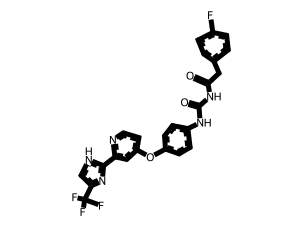 O=C(Cc1ccc(F)cc1)NC(=O)Nc1ccc(Oc2ccnc(-c3nc(C(F)(F)F)c[nH]3)c2)cc1